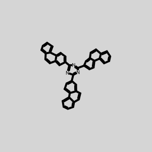 c1ccc2c(c1)ccc1cc(-c3nc(-c4ccc5c(ccc6ccccc65)c4)nc(-c4ccc5c(ccc6ccccc65)c4)n3)ccc12